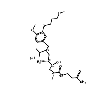 COCCCOc1cc(C[C@@H](C[C@H](N)[C@@H](O)C[C@@H](C)C(=O)NCCC(N)=O)C(C)C)ccc1OC.Cl